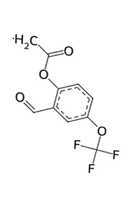 [CH2]C(=O)Oc1ccc(OC(F)(F)F)cc1C=O